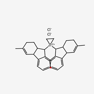 CC1=CC2c3ccccc3[CH]([Zr+2]3([CH]4c5ccccc5C5C=C(C)CCC54)[CH2][CH2]3)C2CC1.[Cl-].[Cl-]